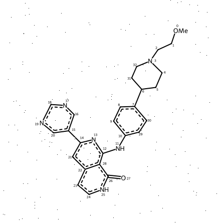 COCCN1CCC(c2ccc(Nc3nc(-c4cncnc4)cc4cc[nH]c(=O)c34)cc2)CC1